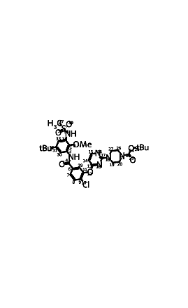 COc1c(NC(=O)c2ccc(Cl)c(Oc3ccnc(N4CCN(C(=O)OC(C)(C)C)CC4)n3)c2)cc(C(C)(C)C)cc1NS(C)(=O)=O